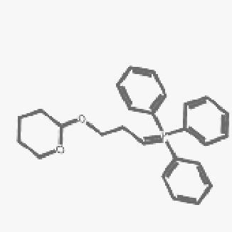 C(CCOC1CCCCO1)=P(c1ccccc1)(c1ccccc1)c1ccccc1